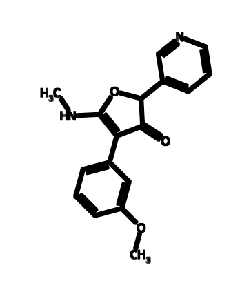 CNC1=C(c2cccc(OC)c2)C(=O)C(c2cccnc2)O1